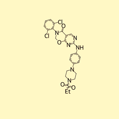 CCS(=O)(=O)N1CCN(c2ccc(Nc3ncc4c(n3)OCN(c3c(Cl)cccc3Cl)C4=O)cc2)CC1